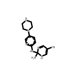 N#CC1=CNC(N)(Nc2ccc(N3CCNCC3)cn2)N=C1